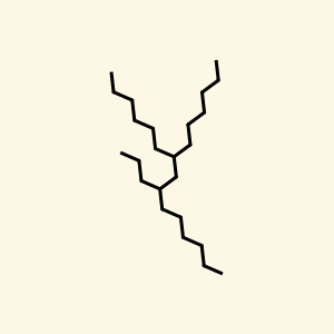 CCCCCCC(CCC)CC(CCCCCC)CCCCCC